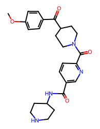 COc1ccc(C(=O)C2CCN(C(=O)c3ccc(C(=O)NC4CCNCC4)cn3)CC2)cc1